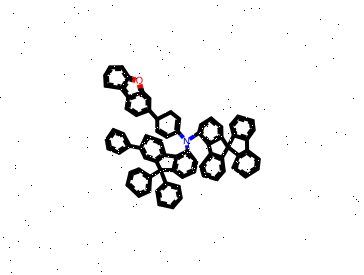 C1=CC(c2ccc3c(c2)oc2ccccc23)CC=C1N(c1cccc2c1-c1ccc(-c3ccccc3)cc1C2(c1ccccc1)c1ccccc1)c1cccc2c1-c1ccccc1C21c2ccccc2-c2ccccc21